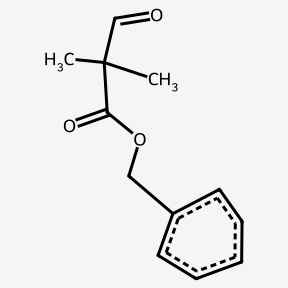 CC(C)(C=O)C(=O)OCc1ccccc1